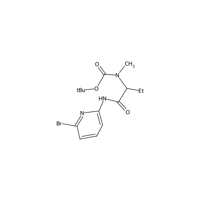 CCC(C(=O)Nc1cccc(Br)n1)N(C)C(=O)OC(C)(C)C